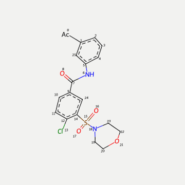 CC(=O)c1cccc(NC(=O)c2ccc(Cl)c(S(=O)(=O)N3CCOCC3)c2)c1